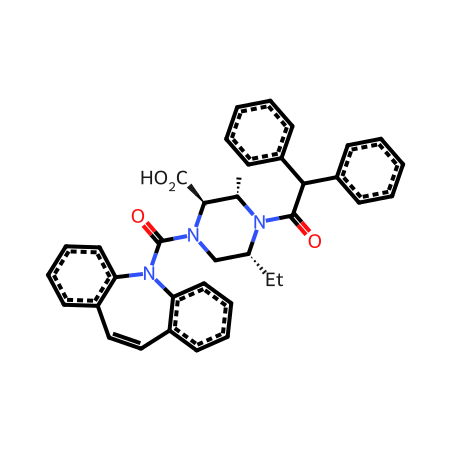 CC[C@@H]1CN(C(=O)N2c3ccccc3C=Cc3ccccc32)[C@@H](C(=O)O)[C@H](C)N1C(=O)C(c1ccccc1)c1ccccc1